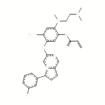 C=CC(=O)Nc1cc(Nc2cn3c(-c4cccc(F)c4)ccc3cn2)c(OC)cc1N(C)CCN(C)C